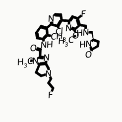 COc1nc(-c2ccnc(-c3cccc(NC(=O)c4nc5c(n4C)CCN(CCCF)C5)c3C)c2Cl)cc(F)c1CNC[C@H]1CCC(=O)N1